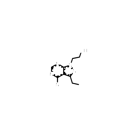 CCc1nn(CCO)c2ncnc(N)c12